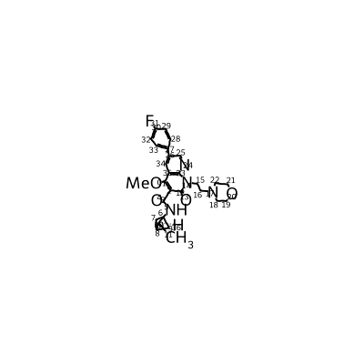 COc1c(C(=O)NC23CC(C2)[C@@H]3C)c(=O)n(CCN2CCOCC2)c2ncc(-c3ccc(F)cc3)cc12